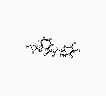 Cc1nc2c3c(nn2c(C)c1Cl)CN(C(=O)c1ccccc1OC1CNC1)C3